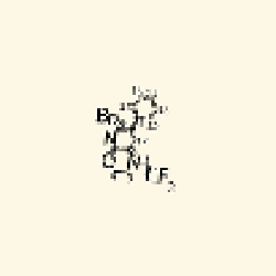 FC(F)(F)CN1CCOc2nc(Br)c(-c3ccccc3)cc21